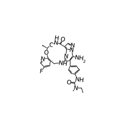 CCN(C)C(=O)Nc1ccc(-c2c3nc4c(cnn4c2N)C(=O)NC[C@H](C)Oc2ncc(F)cc2CN3)cc1